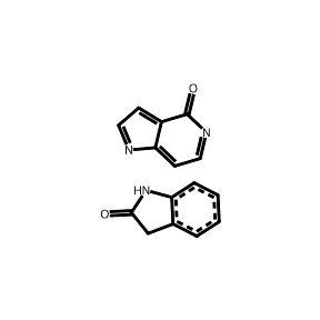 O=C1Cc2ccccc2N1.O=C1N=CC=C2N=CC=C12